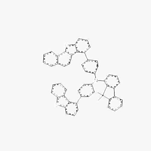 CC1(C)c2ccccc2-c2cccc(N(c3ccc(-c4cccc5oc6c7ccccc7ccc6c45)cc3)c3ccc(-c4cccc5sc6ccccc6c45)cc3)c21